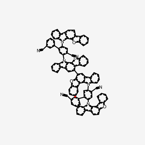 N#Cc1cccc(-c2cc(-n3c4ccccc4c4cc(-c5cc6c7ccccc7n(-c7cc(-c8cccc(C#N)c8)c(-n8c9ccccc9c9ccc%10oc%11ccccc%11c%10c98)cc7C#N)c6c6c5oc5ccccc56)c5c6ccccc6oc5c43)c(C#N)cc2-n2c3ccccc3c3ccc4c5ccccc5oc4c32)c1